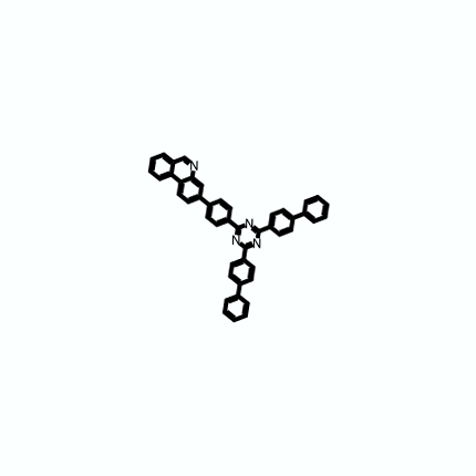 c1ccc(-c2ccc(-c3nc(-c4ccc(-c5ccccc5)cc4)nc(-c4ccc(-c5ccc6c(c5)ncc5ccccc56)cc4)n3)cc2)cc1